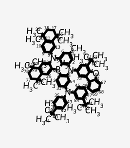 Cc1cc2c3c(c1)N(c1ccc4c(c1)C(C)(C)CCC4(C)C)c1cc4c(cc1B3c1ccc(N(c3ccc(C(C)(C)C)cc3)c3cccc(C(C)(C)C)c3)cc1N2c1cc(C(C)(C)C)c2oc3ccccc3c2c1)C(C)(C)CCC4(C)C